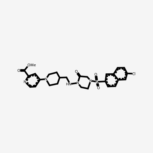 COC(=O)c1cc(N2CCC(CNN3CCN(S(=O)(=O)c4ccc5cc(Cl)ccc5c4)CC3=O)CC2)ccn1